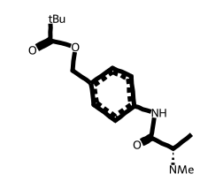 CN[C@@H](C)C(=O)Nc1ccc(COC(=O)C(C)(C)C)cc1